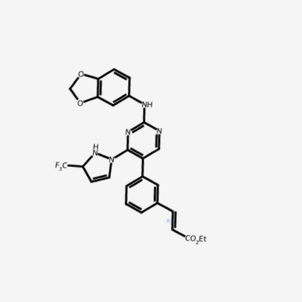 CCOC(=O)/C=C/c1cccc(-c2cnc(Nc3ccc4c(c3)OCO4)nc2N2C=CC(C(F)(F)F)N2)c1